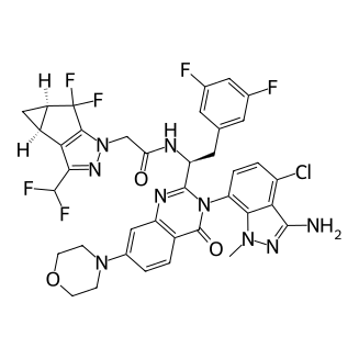 Cn1nc(N)c2c(Cl)ccc(-n3c([C@H](Cc4cc(F)cc(F)c4)NC(=O)Cn4nc(C(F)F)c5c4C(F)(F)[C@@H]4C[C@H]54)nc4cc(N5CCOCC5)ccc4c3=O)c21